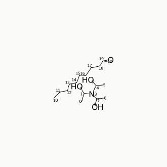 CC(O)N(C(C)O)C(C)O.CCCCCCCCCC=O